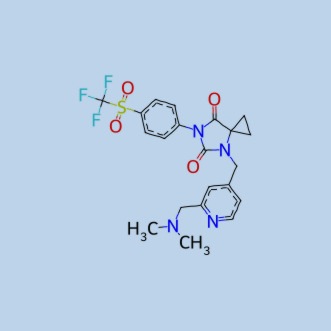 CN(C)Cc1cc(CN2C(=O)N(c3ccc(S(=O)(=O)C(F)(F)F)cc3)C(=O)C23CC3)ccn1